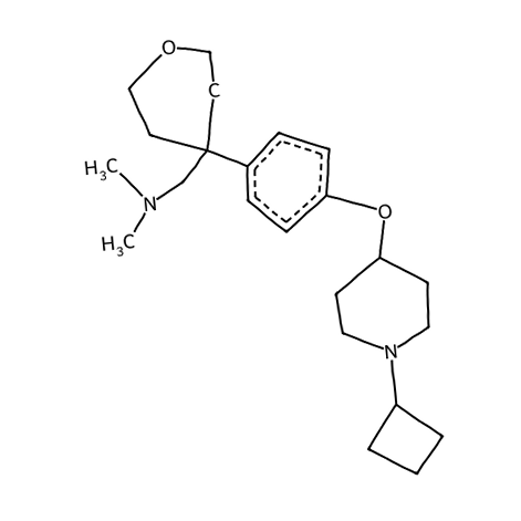 CN(C)CC1(c2ccc(OC3CCN(C4CCC4)CC3)cc2)CCOCC1